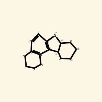 c1cc2c(c3c1CCCC3)C1CCCCC1S2